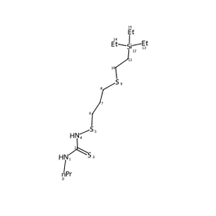 CCCNC(=S)NSCCCSCC[Si](CC)(CC)CC